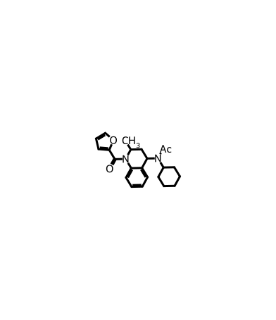 CC(=O)N(C1CCCCC1)C1CC(C)N(C(=O)c2ccco2)c2ccccc21